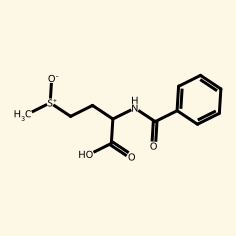 C[S+]([O-])CCC(NC(=O)c1ccccc1)C(=O)O